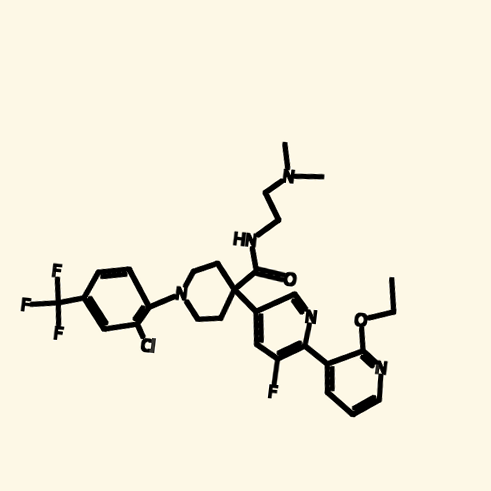 CCOc1ncccc1-c1ncc(C2(C(=O)NCCN(C)C)CCN(c3ccc(C(F)(F)F)cc3Cl)CC2)cc1F